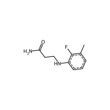 Cc1cccc(NCCC(N)=O)c1F